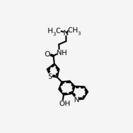 CN(C)CCNC(=O)c1csc(-c2cc(O)c3ncccc3c2)c1